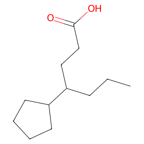 CCCC(CCC(=O)O)C1CCCC1